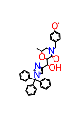 COc1ccc(CN2C[C@H](C)OC(C(O)c3cn(C(c4ccccc4)(c4ccccc4)c4ccccc4)cn3)C2=O)cc1